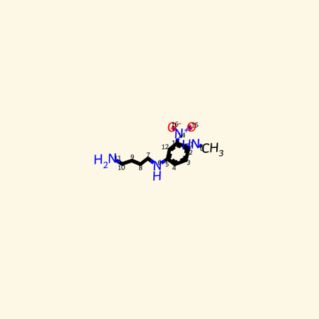 CNc1ccc(NCCCCN)cc1[N+](=O)[O-]